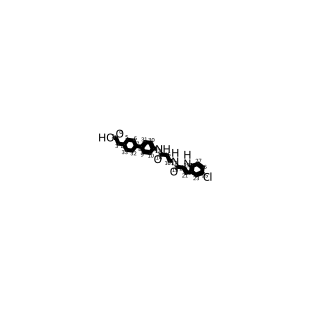 O=C(O)CC1CCC(c2ccc(NC(=O)CCNC(=O)c3cc4cc(Cl)ccc4[nH]3)cc2)CC1